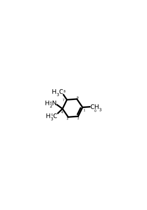 CC1=CCC(C)(N)C(C)C1